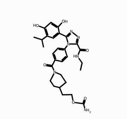 CCNC(=O)c1nnc(-c2cc(C(C)C)c(O)cc2O)n1-c1ccc(C(=O)N2CCC(CCOC(N)=O)CC2)cc1